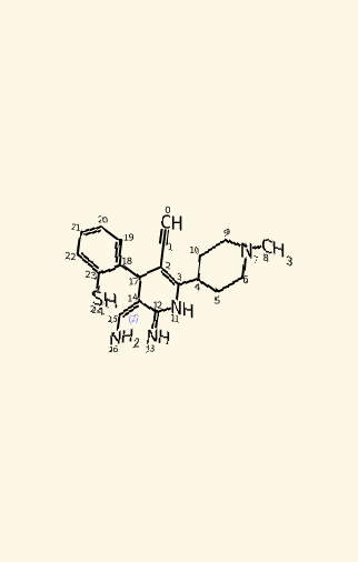 C#CC1=C(C2CCN(C)CC2)NC(=N)/C(=C\N)C1c1ccccc1S